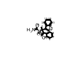 CC(c1coc2ccccc12)(c1coc2ccccc12)N(O)C(N)=O